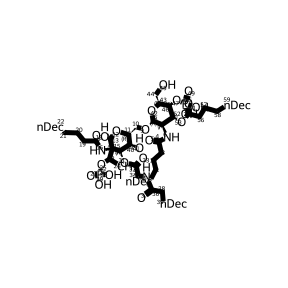 CCCCCCCCCCCCCC(=O)N[C@H]1[C@H](OC[C@H]2O[C@H](O)[C@@](NC(=O)CCCCCCCCCCCCC)(C(C)OP(=O)(O)O)[C@@H](OC(=O)CNC(=O)CCCCCCCCCCC)[C@@H]2O)O[C@H](CO)[C@@H](OP(=O)(O)O)[C@@H]1OC(=O)CCCCCCCCCCCCC